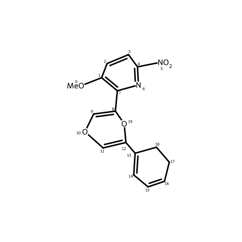 COc1ccc([N+](=O)[O-])nc1C1=COC=C(C2=CC=CCC2)O1